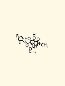 CCN1CN2CC(OC)c3c(C(=O)NCc4ccc(F)cc4F)c(=O)c(O)c(n32)C1=O